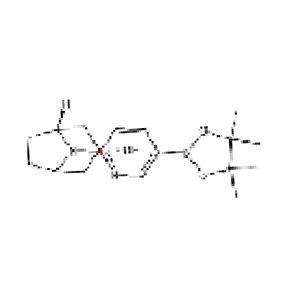 CC1(C)OB(c2ccc(N3C4CC[C@@H]3C[C@H](O)C4)nc2)OC1(C)C